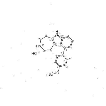 CCCCOc1ccc(-c2cccc3[nH]c4c(c23)CCNCC4)cc1.Cl